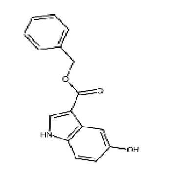 O=C(OCc1ccccc1)c1c[nH]c2ccc(O)cc12